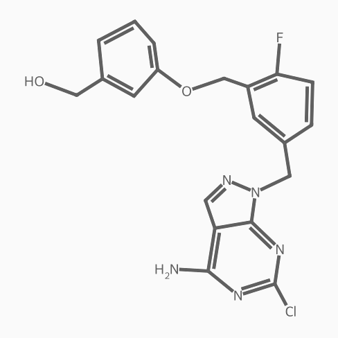 Nc1nc(Cl)nc2c1cnn2Cc1ccc(F)c(COc2cccc(CO)c2)c1